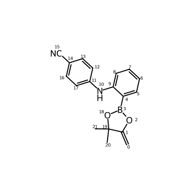 C=C1OB(c2ccccc2Nc2ccc(C#N)cc2)OC1(C)C